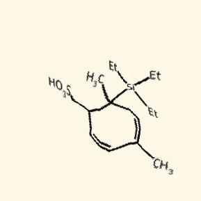 CC[Si](CC)(CC)C1(C)C=C(C)C=CC1S(=O)(=O)O